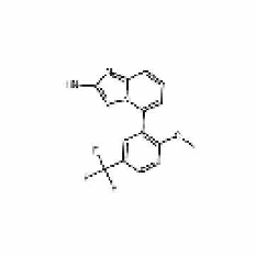 COc1ccc(C(F)(F)F)cc1-c1cccc2nc([NH])nn12